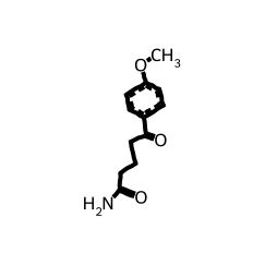 COc1ccc(C(=O)CCCC(N)=O)cc1